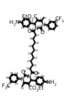 CCOC(=O)C1=C(C)N(c2cccc(C(F)(F)F)c2)C(=O)N(C(=O)CCCCCCCCCCC(=O)N2C(=O)N(c3cccc(C(F)(F)F)c3)C(C)=C(C(=O)OCC)C2c2ccc(N)cc2)C1c1ccc(N)cc1